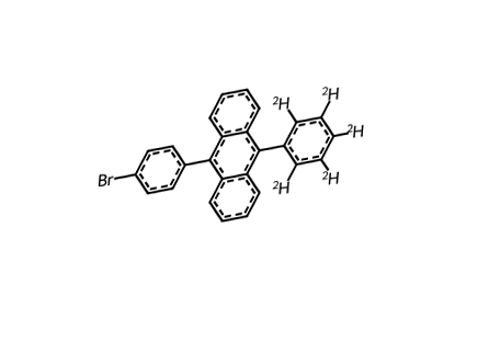 [2H]c1c([2H])c([2H])c(-c2c3ccccc3c(-c3ccc(Br)cc3)c3ccccc23)c([2H])c1[2H]